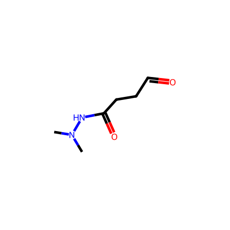 CN(C)NC(=O)CCC=O